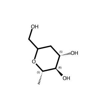 C[C@@H]1OC(CO)C[C@H](O)[C@H]1O